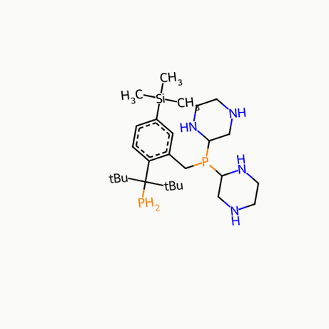 CC(C)(C)C(P)(c1ccc([Si](C)(C)C)cc1CP(C1CNCCN1)C1CNCCN1)C(C)(C)C